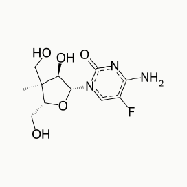 C[C@@]1(CO)[C@@H](CO)O[C@@H](n2cc(F)c(N)nc2=O)[C@@H]1O